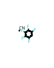 CC#N.Fc1cc(F)c(F)c(F)c1F